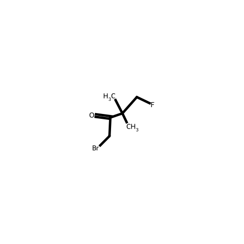 CC(C)(CF)C(=O)CBr